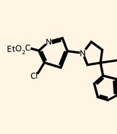 CCOC(=O)c1ncc(N2CCC(C)(c3ccccc3)C2)cc1Cl